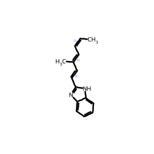 C\C=C/C=C(C)/C=C/c1nc2ccccc2[nH]1